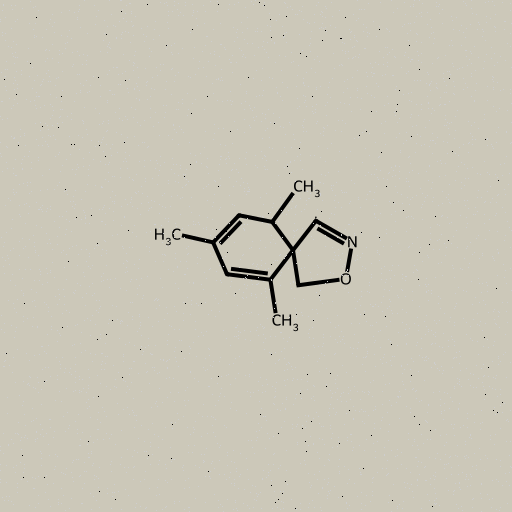 CC1=CC(C)C2([C]=NOC2)C(C)=C1